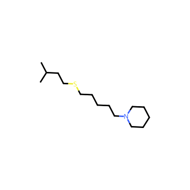 CC(C)CCSCCCCCN1CCCCC1